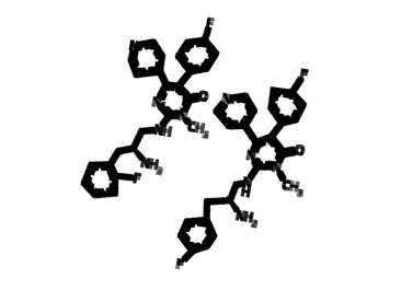 Cn1c(NC[C@@H](N)Cc2ccc(F)cc2)nc(-c2ccncc2)c(-c2ccc(F)cc2)c1=O.Cn1c(NC[C@@H](N)Cc2ccccc2F)nc(-c2ccncc2)c(-c2ccc(F)cc2)c1=O